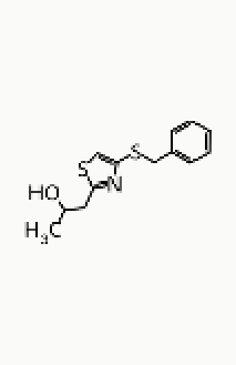 CC(O)Cc1nc(SCc2ccccc2)cs1